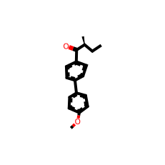 CC[C@H](C)C(=O)c1ccc(-c2ccc(OC)cc2)cc1